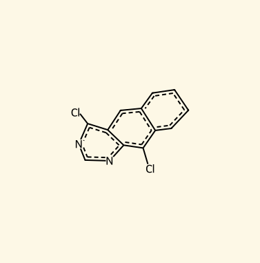 Clc1ncnc2c(Cl)c3ccccc3cc12